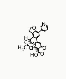 CC(C)(C)[C@@H]1Cc2c(cc(-c3cccnc3)c3c2CCO3)-c2cc(=O)c(C(=O)O)cn21